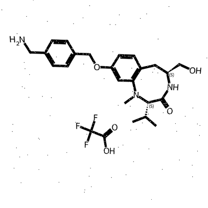 CC(C)[C@H]1C(=O)N[C@H](CO)Cc2ccc(OCc3ccc(CN)cc3)cc2N1C.O=C(O)C(F)(F)F